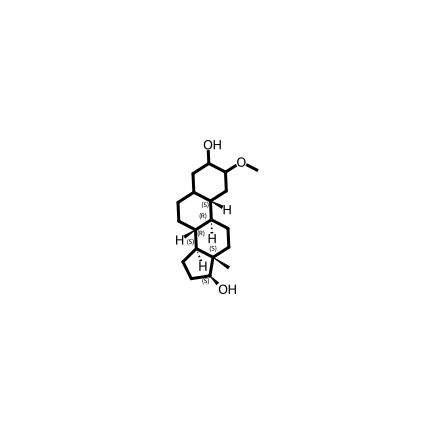 COC1C[C@H]2C(CC[C@@H]3[C@@H]2CC[C@]2(C)[C@@H](O)CC[C@@H]32)CC1O